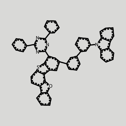 c1ccc(-c2nc(-c3ccccc3)nc(-c3cc(-c4cccc(-c5cccc(-n6c7ccccc7c7ccccc76)c5)c4)cc4c3sc3ccc5c6ccccc6oc5c34)n2)cc1